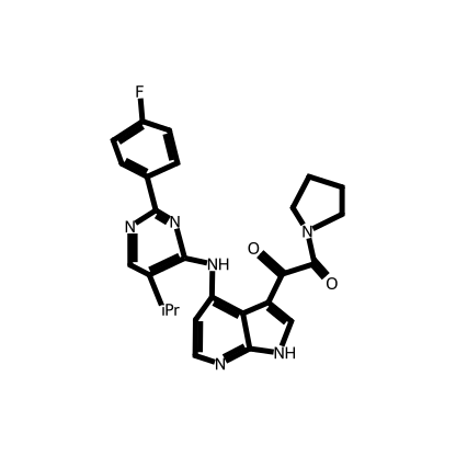 CC(C)c1cnc(-c2ccc(F)cc2)nc1Nc1ccnc2[nH]cc(C(=O)C(=O)N3CCCC3)c12